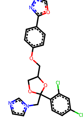 Clc1ccc(C2(Cn3ccnc3)OCC(COc3ccc(-c4nnco4)cc3)O2)c(Cl)c1